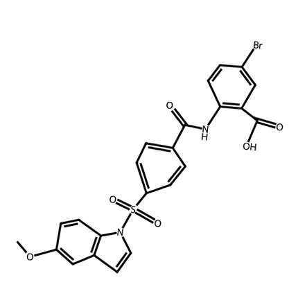 COc1ccc2c(ccn2S(=O)(=O)c2ccc(C(=O)Nc3ccc(Br)cc3C(=O)O)cc2)c1